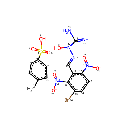 Cc1ccc(S(=O)(=O)O)cc1.N=C(N)N(O)N=Cc1c([N+](=O)[O-])ccc(Br)c1[N+](=O)[O-]